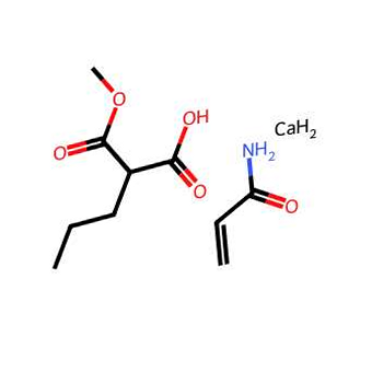 C=CC(N)=O.CCCC(C(=O)O)C(=O)OC.[CaH2]